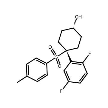 Cc1ccc(S(=O)(=O)[C@]2(c3cc(F)ccc3F)CC[C@H](O)CC2)cc1